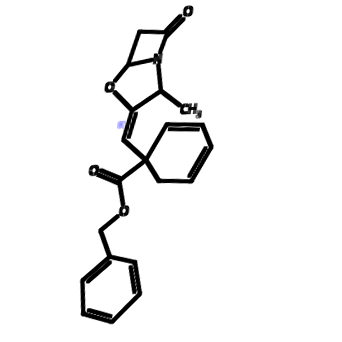 CC1/C(=C\C2(C(=O)OCc3ccccc3)C=CC=CC2)OC2CC(=O)N21